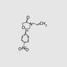 C=CCN1C[C@@H](c2ccc([N+](=O)[O-])cc2)OCC1=O